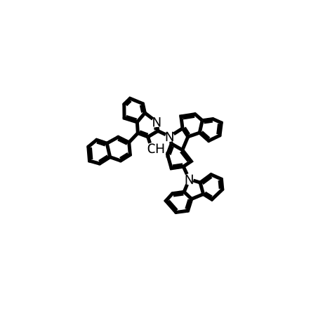 Cc1c(-n2c3ccc(-n4c5ccccc5c5ccccc54)cc3c3c4ccccc4ccc32)nc2ccccc2c1-c1ccc2ccccc2c1